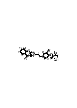 O=c1[nH]c(SCCCc2ccc(OP(=O)(O)C(F)F)c(Br)c2)nc2ccccc12